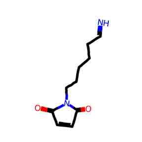 N=CCCCCCN1C(=O)C=CC1=O